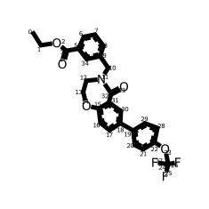 CCOC(=O)c1cccc(CN2CCOc3ccc(-c4ccc(OC(F)(F)F)cc4)cc3C2=O)c1